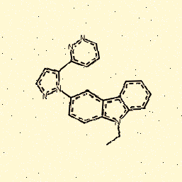 CCn1c2ccccc2c2cc(-n3nccc3-c3cccnn3)ccc21